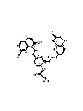 O=C1COc2ccc(CNC[C@@H]3CN(CCn4c(=O)ccc5ccc(F)cc54)CC[C@@H]3OC(=O)C(F)(F)F)nc2N1